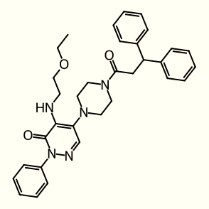 CCOCCNc1c(N2CCN(C(=O)CC(c3ccccc3)c3ccccc3)CC2)cnn(-c2ccccc2)c1=O